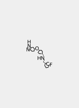 Fc1cccc(CCNCc2ccc(Oc3ccc4nc[nH]c4c3)cc2)c1